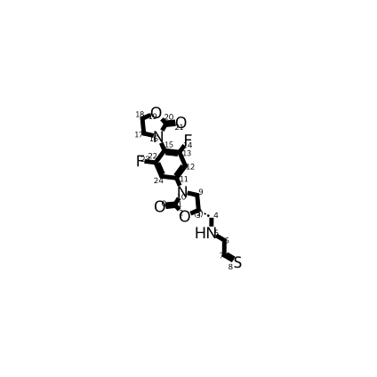 O=C1O[C@@H](CNCC=S)CN1c1cc(F)c(N2CCOC2=O)c(F)c1